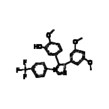 COc1cc(OC)cc(-c2ncn(-c3ccc(C(F)(F)F)cc3)c2-c2ccc(OC)c(O)c2)c1